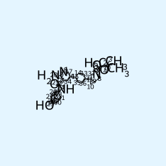 CC(C)(C)OC(=O)N1CC2CC2(c2ccc(-c3cnc(N)c(C(=O)NC45CCC(O)(CC4)CC5)c3)cc2)C1